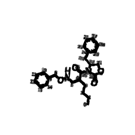 CCCCC(CNOCc1ccccc1)C(=O)N1C(=O)OC[C@@H]1Cc1ccccc1